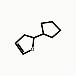 C1=COC(C2CCCC2)C1